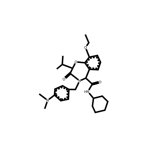 CCOc1cccc2c1OC(C(C)C)C(=O)N(Cc1ccc(N(C)C)cc1)C2C(=O)NC1CCCCC1